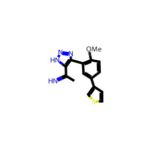 COc1ccc(-c2ccsc2)cc1-c1nn[nH]c1C(C)=N